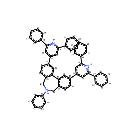 c1ccc(-c2cc(-c3ccc4c(c3)-c3cc(-c5cc(-c6ccccc6)nc(-c6ccccc6)c5)ccc3CN(c3ccccc3)C4)cc(-c3ccccc3)n2)cc1